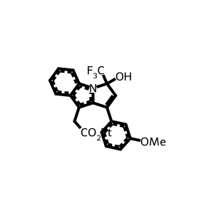 CCOC(=O)Cc1c2n(c3ccccc13)C(O)(C(F)(F)F)C=C2c1cccc(OC)c1